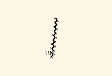 [CH2]CCCCCCCCCCCCCCCNCC